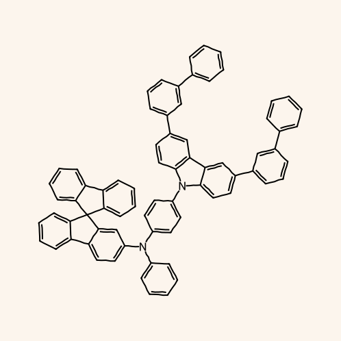 c1ccc(-c2cccc(-c3ccc4c(c3)c3cc(-c5cccc(-c6ccccc6)c5)ccc3n4-c3ccc(N(c4ccccc4)c4ccc5c(c4)C4(c6ccccc6-c6ccccc64)c4ccccc4-5)cc3)c2)cc1